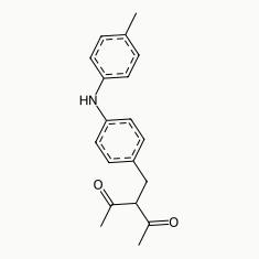 CC(=O)C(Cc1ccc(Nc2ccc(C)cc2)cc1)C(C)=O